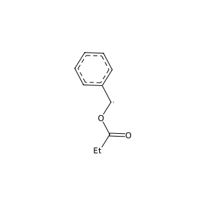 CCC(=O)O[CH]c1ccccc1